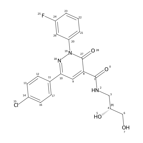 O=C(NC[C@@H](O)CO)c1cc(-c2ccc(Cl)cc2)nn(-c2cccc(F)c2)c1=O